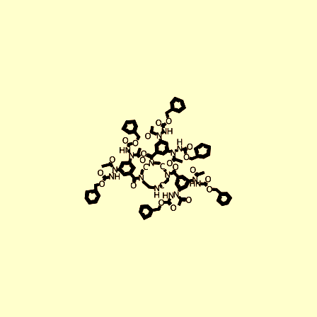 CC(=O)N(NC(=O)OCc1ccccc1)c1cc(C(=O)N2CCNCCN(C(=O)c3cc(N(NC(=O)OCc4ccccc4)C(C)=O)cc(N(NC(=O)OCc4ccccc4)C(C)=O)c3)CCN(C(=O)c3cc(N(NC(=O)OCc4ccccc4)C(C)=O)cc(N(NC(=O)OCc4ccccc4)C(C)=O)c3)CC2)cc(N(NC(=O)OCc2ccccc2)C(C)=O)c1